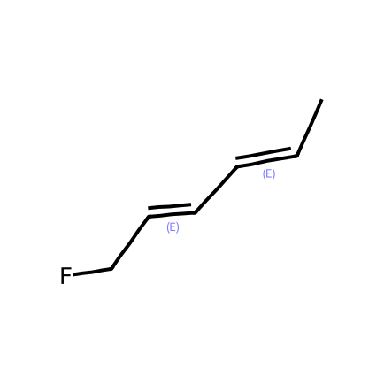 C/C=C/C=C/CF